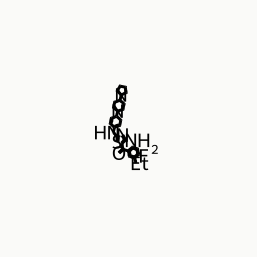 CCc1cc(C(=O)c2sc(NC3=CCC(N4CCC(N5CCCC5)CC4)C=C3)nc2N)ccc1F